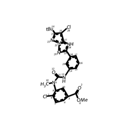 COC(=O)c1ccc(Cl)c(N(C)C(=O)Nc2cccc(-c3nn4nc(C(C)(C)C)c(Cl)c4[nH]3)c2)c1